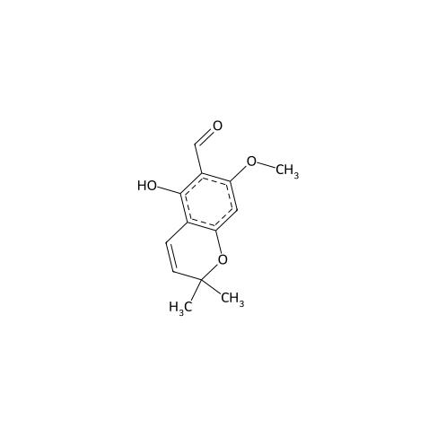 COc1cc2c(c(O)c1C=O)C=CC(C)(C)O2